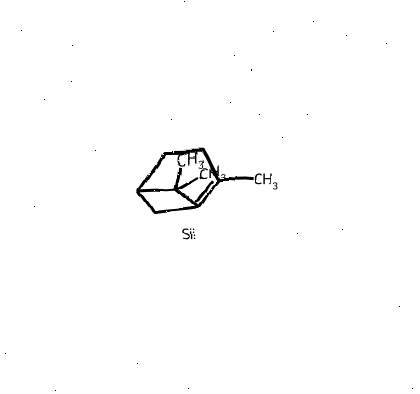 CC1=C2CC(CC1)C2(C)C.[Si]